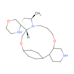 C[C@@H]1C[C@]2(COCCN2)[C@H]2COC3CCC(CC3)C3CCNCC3OCCCN12